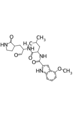 COc1cccc2[nH]c(C(=O)NC(CC(C)C)C(=O)NC(C=O)CC3CCNC3=O)cc12